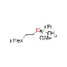 CCCCCCCCO[Si](C)(CCC)OC